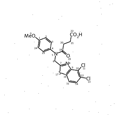 COc1ccc(N(Cc2nc3c(Cl)c(Cl)ccc3s2)C(=O)CCC(=O)O)cc1